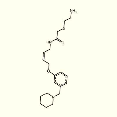 NCCSCC(=O)NC/C=C\COc1cccc(CN2CCCCC2)c1